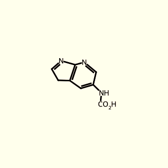 O=C(O)Nc1cnc2c(c1)CC=N2